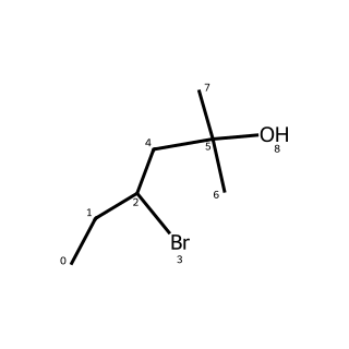 CCC(Br)CC(C)(C)O